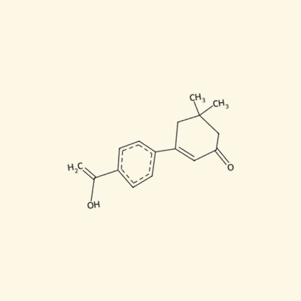 C=C(O)c1ccc(C2=CC(=O)CC(C)(C)C2)cc1